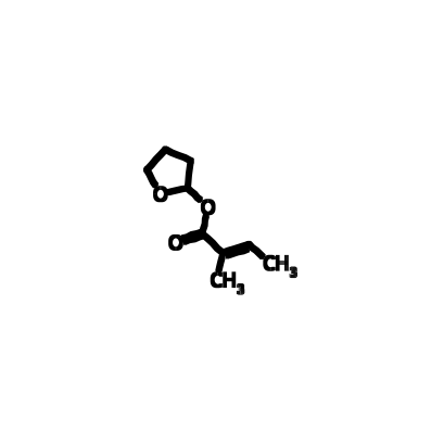 CC=C(C)C(=O)OC1CCCO1